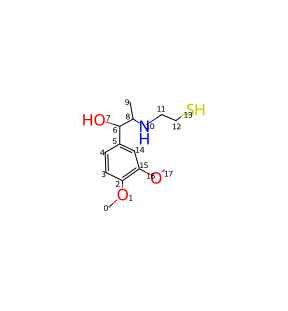 COc1ccc(C(O)C(C)NCCS)cc1OC